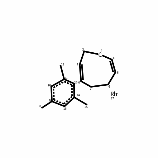 C1=C\CC/C=C\CC/1.Cc1cc(C)cc(C)c1.[Rh]